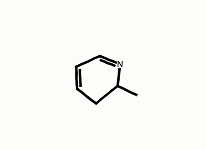 CC1CC=CC=N1